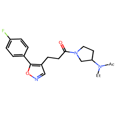 CCN(C(C)=O)C1CCN(C(=O)CCc2cnoc2-c2ccc(F)cc2)C1